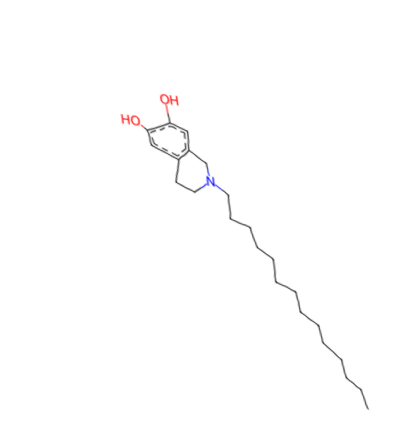 CCCCCCCCCCCCCCN1CCc2cc(O)c(O)cc2C1